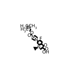 C[Si](C)(C)CCOC(=O)N1CCN(c2cc3c(cc2F)c(=O)c(C(=O)O)cn3C2CC2)CC1